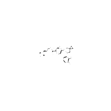 C[C@H](/C=C/S(C)(=O)=O)NC(=O)c1cnc(N2CC3(CC3)C[C@H]2c2cccc(F)c2F)cn1